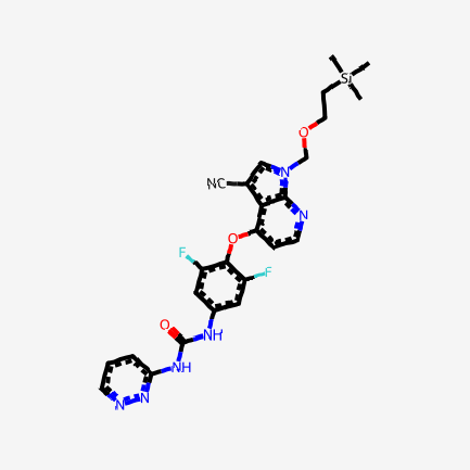 C[Si](C)(C)CCOCn1cc(C#N)c2c(Oc3c(F)cc(NC(=O)Nc4cccnn4)cc3F)ccnc21